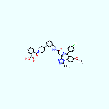 COc1ccc2c(c1)C(c1ccc(Cl)cc1)=N[C@@H](CC(=O)NCc1cccc(C3CCN(C(=O)c4ccccc4B(O)O)CC3)c1)c1nnc(C)n1-2